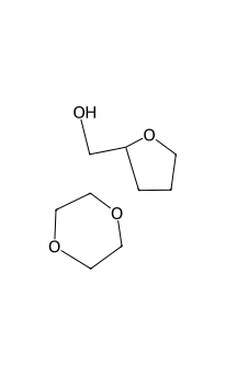 C1COCCO1.OCC1CCCO1